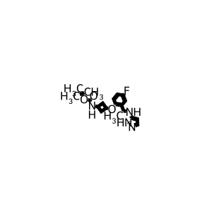 CC(Nc1ccn[nH]1)c1cc(F)ccc1OC1CC(NC(=O)OC(C)(C)C)C1